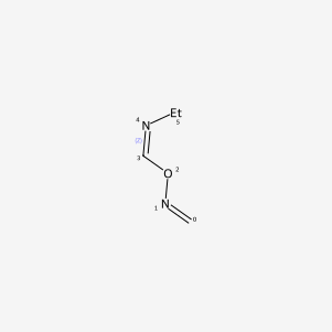 C=NO/C=N\CC